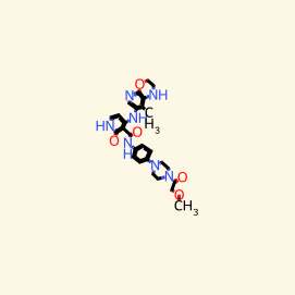 COCC(=O)N1CCN(c2ccc(NC(=O)c3c(Nc4cnc5c(c4C)NCCO5)cc[nH]c3=O)cc2)CC1